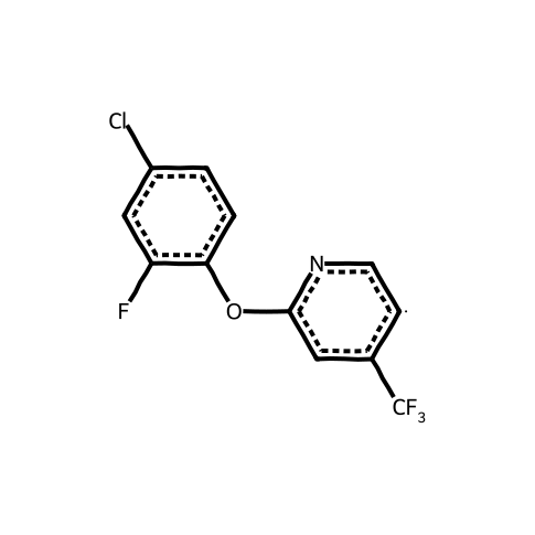 Fc1cc(Cl)ccc1Oc1cc(C(F)(F)F)[c]cn1